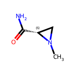 CN1C[C@H]1C(N)=O